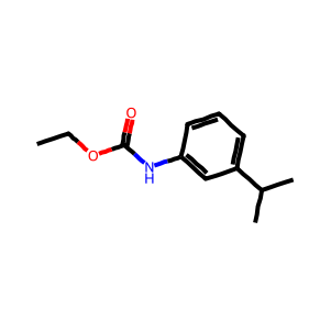 CCOC(=O)Nc1cccc(C(C)C)c1